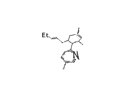 CCC=CCC1CC(C)=CC(C)=C1c1ccc(C)cn1